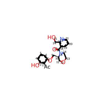 CC(=O)c1c(O)cccc1OC[C@@H]1COCCN1C(=O)c1cccnc1CO